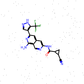 N#CC1CC1C(=O)Nc1cc2cc(-c3cn[nH]c3C(F)(F)F)nc(N)c2cn1